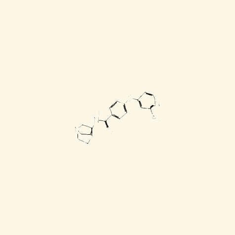 CC(=O)c1cc(Sc2ccc(C(=O)NC3CN4CCC3CC4)cc2)ccn1